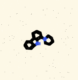 c1ccc2c(c1)[nH]c1c(N3CCCCC3)cccc12